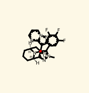 Cc1nn2cccnc2c1C(=O)N1[C@H]2CCC[C@@H]1c1nn(C)c(-c3cc(F)c(F)c(F)c3)c1C2